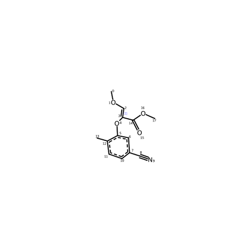 CO/C=C(\Oc1cc(C#N)ccc1C)C(=O)OC